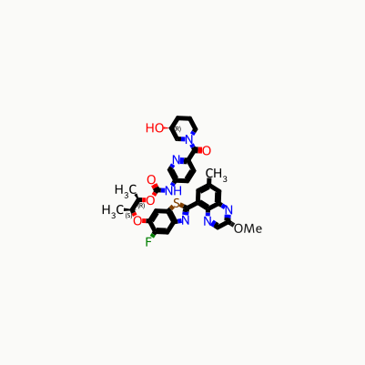 COc1cnc2c(-c3nc4cc(F)c(O[C@@H](C)[C@@H](C)OC(=O)Nc5ccc(C(=O)N6CCC[C@@H](O)C6)nc5)cc4s3)cc(C)cc2n1